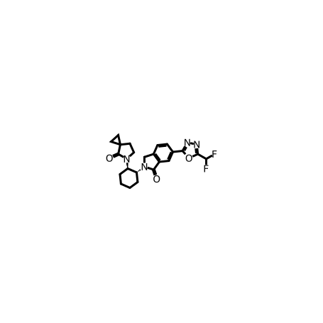 O=C1c2cc(-c3nnc(C(F)F)o3)ccc2CN1[C@@H]1CCCC[C@H]1N1CCC2(CC2)C1=O